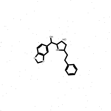 Cl.OC(c1ccc2c(c1)OCO2)C1CCC(CCc2ccccc2)N1